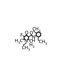 CCCn1c(C)c(F)c(=O)c(C(=O)Nc2c(CC)cccc2CC)c1C